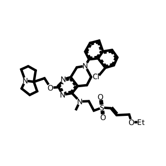 CCOC/C=C/S(=O)(=O)CCN(C)c1nc(OCC23CCCN2CCC3)nc2c1CCN(c1cccc3cccc(Cl)c13)C2